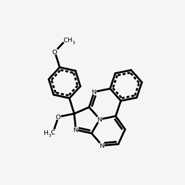 COc1ccc(C2(OC)N=C3N=CC=C4c5ccccc5N=C2N43)cc1